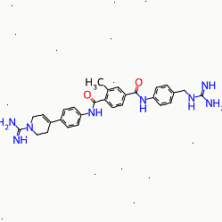 Cc1cc(C(=O)Nc2ccc(CNC(=N)N)cc2)ccc1C(=O)Nc1ccc(C2=CCN(C(=N)N)CC2)cc1